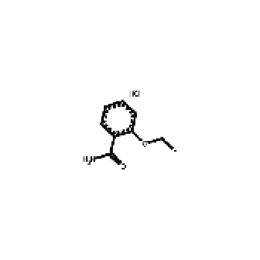 Cl.NC(=O)c1ccccc1OCF